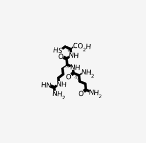 N=C(N)NCCC[C@H](NC(=O)[C@@H](N)CCC(N)=O)C(=O)N[C@@H](CS)C(=O)O